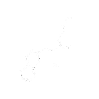 Br.C/N=C(\CCSC)SCc1ccc2ccccc2c1